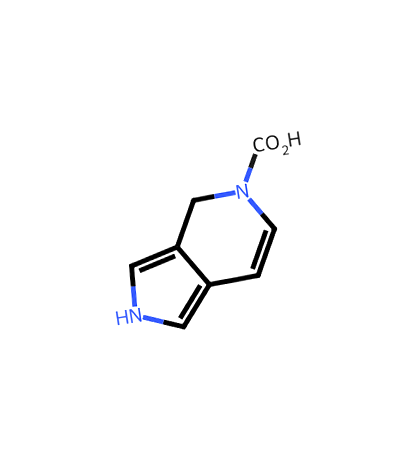 O=C(O)N1C=Cc2c[nH]cc2C1